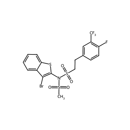 CS(=O)(=O)N(c1sc2ccccc2c1Br)S(=O)(=O)CCc1ccc(F)c(C(F)(F)F)c1